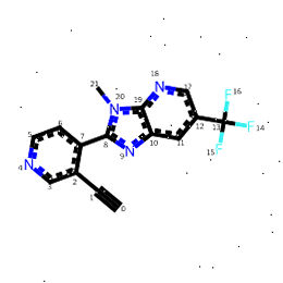 C#Cc1cnccc1-c1nc2cc(C(F)(F)F)cnc2n1C